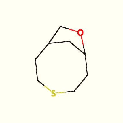 C1CC2COC(CCS1)C2